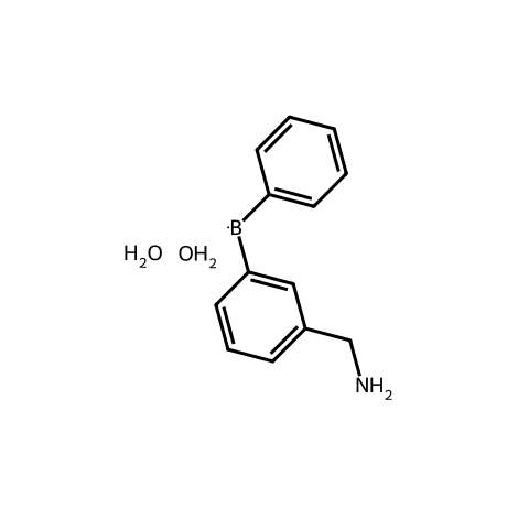 NCc1cccc([B]c2ccccc2)c1.O.O